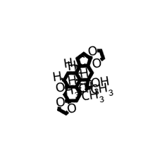 CC(C)(C)[C@]1(O)C[C@@]2(C)[C@@H](CCC23OCCO3)[C@@H]2C[C@H]3O[C@]34CC3(CC[C@]4(C)[C@H]21)OCCO3